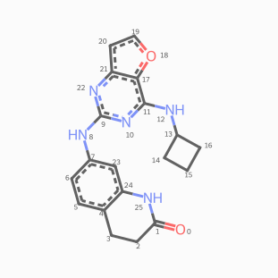 O=C1CCc2ccc(Nc3nc(NC4CCC4)c4occc4n3)cc2N1